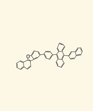 c1ccc2cc(-c3c4ccccc4c(-c4ccc(-c5ccc6oc7c8ccccc8ccc7c6c5)cc4)c4ccccc34)ccc2c1